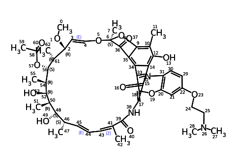 CO[C@H]1/C=C/O[C@@]2(C)Oc3c(C)c(O)c4c(=O)c(c5oc6cc(OCCN(C)C)ccc6nc-5c4c3C2=O)NC(=O)/C(C)=C\C=C\[C@H](C)[C@H](O)[C@@H](C)[C@@H](O)[C@@H](C)[C@H](OC(C)=O)[C@@H]1C